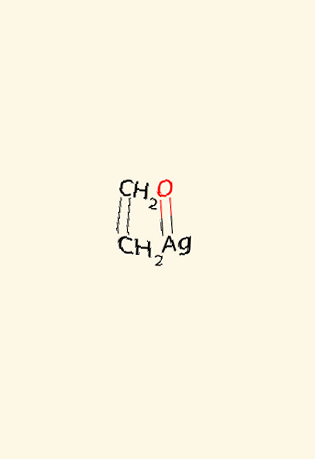 C=C.[O]=[Ag]